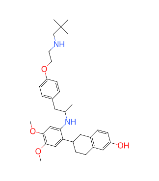 COc1cc(NC(C)Cc2ccc(OCCNCC(C)(C)C)cc2)c(C2CCc3cc(O)ccc3C2)cc1OC